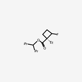 CC[C@]1(C(=O)OC(C(C)C)C(C)C)CCC1F